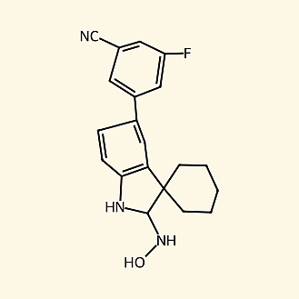 N#Cc1cc(F)cc(-c2ccc3c(c2)C2(CCCCC2)C(NO)N3)c1